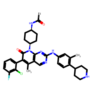 CCC(=O)N[C@H]1CC[C@@H](n2c(=O)c(-c3cccc(F)c3Cl)c(C)c3cnc(Nc4ccc(C5CCNCC5)c(C)c4)nc32)CC1